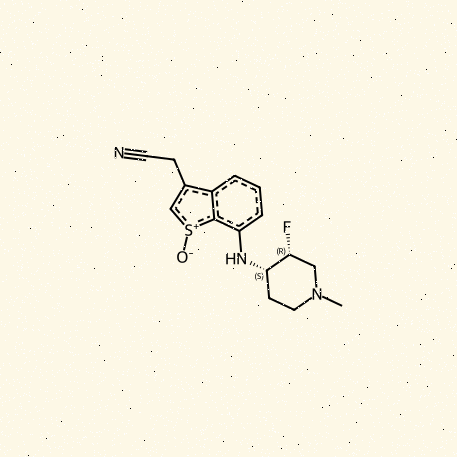 CN1CC[C@H](Nc2cccc3c(CC#N)c[s+]([O-])c23)[C@H](F)C1